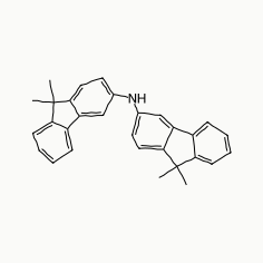 CC1(C)c2ccccc2-c2cc(Nc3ccc4c(c3)-c3ccccc3C4(C)C)ccc21